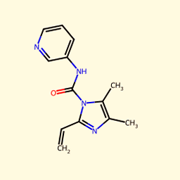 C=Cc1nc(C)c(C)n1C(=O)Nc1cccnc1